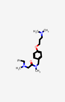 CC(C)CN(C)CC(=O)N(C)Cc1ccc(OCCCN(C)C)cc1